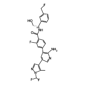 Cc1c(-c2cnc(N)c(-c3ccc(C(=O)N[C@H](CO)c4cccc(CF)c4)c(F)c3)c2)cnn1C(F)F